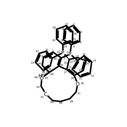 C1=CC(P(c2ccccc2)c2ccccc2)=C2C3=C(C=CC[C@@H]3P(c3ccccc3)c3ccccc3)OCCCCCCO[C@H]2C1